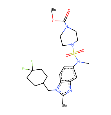 CN(c1ccc2c(c1)nc(C(C)(C)C)n2CC1CCC(F)(F)CC1)S(=O)(=O)N1CCN(C(=O)OC(C)(C)C)CC1